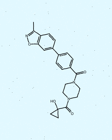 Cc1noc2cc(-c3ccc(C(=O)N4CCN(C(=O)C5(O)CC5)CC4)cc3)ccc12